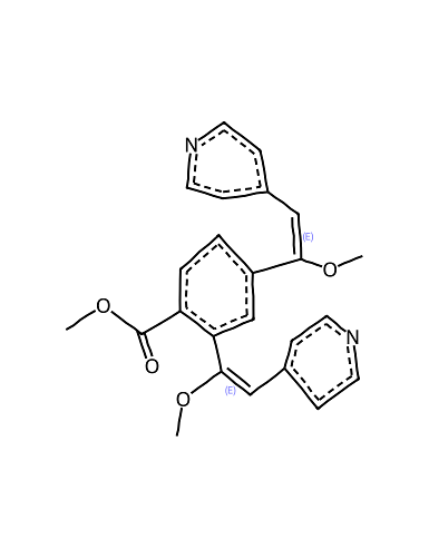 COC(=O)c1ccc(/C(=C\c2ccncc2)OC)cc1/C(=C\c1ccncc1)OC